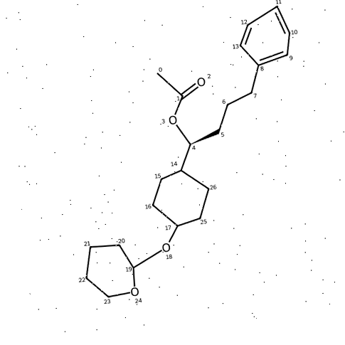 CC(=O)O[C@@H](CCCc1ccccc1)C1CCC(OC2CCCCO2)CC1